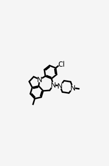 Cc1cc2c3c(c1)CN(N1CCN(C)CC1)c1cc(Cl)ccc1N3CC2